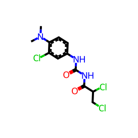 CN(C)c1ccc(NC(=O)NC(=O)C(Cl)CCl)cc1Cl